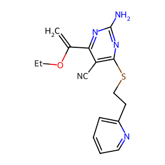 C=C(OCC)c1nc(N)nc(SCCc2ccccn2)c1C#N